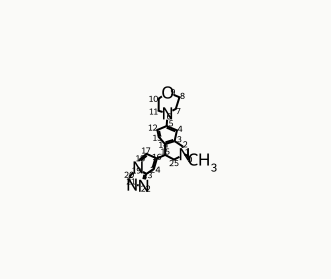 CN1Cc2cc(N3CCOCC3)ccc2C(c2ccn3cnnc3c2)C1